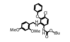 COc1ccc(CNc2c(NC(=O)OC(C)(C)C)ccc(Cl)c2Oc2ccccc2)c(OC)c1